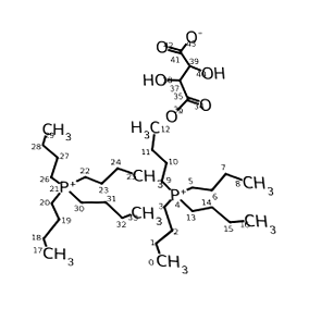 CCCC[P+](CCCC)(CCCC)CCCC.CCCC[P+](CCCC)(CCCC)CCCC.O=C([O-])C(O)C(O)C(=O)[O-]